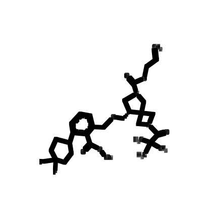 C=CCOC(=O)N1C[C@@H](COCc2cccc(C3CCC(F)(F)CC3)c2C(=O)OC(C)(C)C)C2(C1)CN(C(=O)C(C)(C)C(F)(F)F)C2